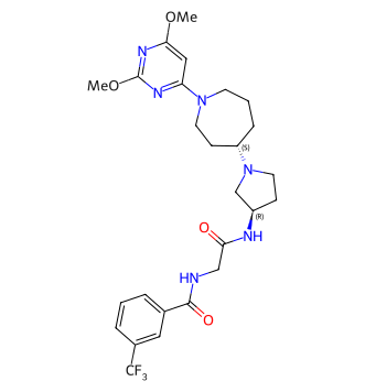 COc1cc(N2CCC[C@H](N3CC[C@@H](NC(=O)CNC(=O)c4cccc(C(F)(F)F)c4)C3)CC2)nc(OC)n1